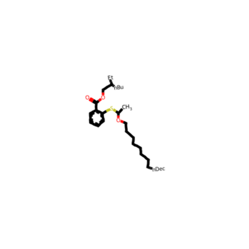 CCCCCCCCCCCCCCCCCCOC(C)Sc1ccccc1C(=O)OCC(CC)CCCC